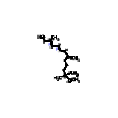 COC(C)(C)CCCC(C)C/C=C/C=C(\C)CO